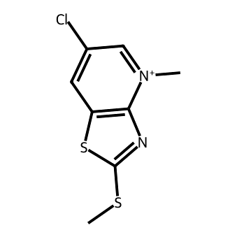 CSc1nc2c(cc(Cl)c[n+]2C)s1